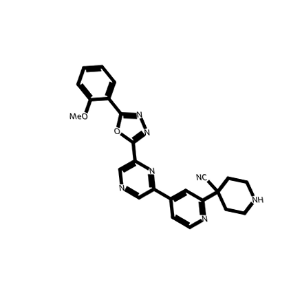 COc1ccccc1-c1nnc(-c2cncc(-c3ccnc(C4(C#N)CCNCC4)c3)n2)o1